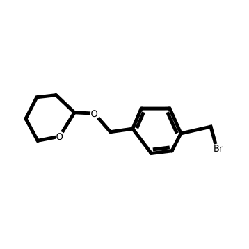 BrCc1ccc(COC2CCCCO2)cc1